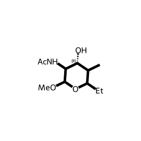 CCC1OC(OC)C(NC(C)=O)[C@H](O)C1C